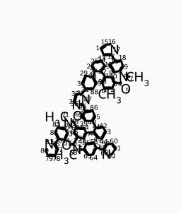 Cc1cc(C(=O)N(C)c2ccc(-c3ccccn3)cc2)cc(-c2ccccc2-c2ccc(-c3ccnc(-c4ccc(-c5ccccc5-c5cc(C(=O)N(C)c6ccc(-c7ccccn7)cc6)cc(C(=O)N(C)c6ccc(-c7ccccn7)cc6)c5)cc4)n3)cc2)c1